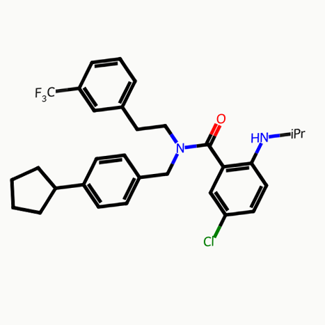 CC(C)Nc1ccc(Cl)cc1C(=O)N(CCc1cccc(C(F)(F)F)c1)Cc1ccc(C2CCCC2)cc1